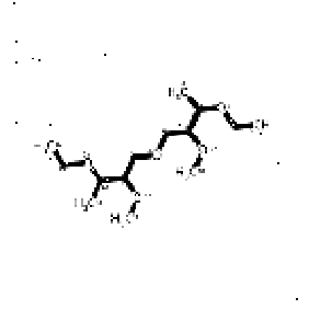 CCOC(C)C(COCC(OC)C(C)OCC)OC